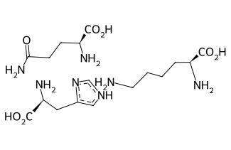 NC(=O)CC[C@H](N)C(=O)O.NCCCC[C@H](N)C(=O)O.N[C@@H](Cc1c[nH]cn1)C(=O)O